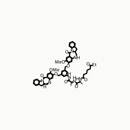 CCC(=O)CCCCC(=O)N[C@@H](C)C(=O)N[C@@H](C)C(=O)Nc1cc(COc2cc3c(cc2OC)C(=O)N2c4ccccc4C[C@H]2C=N3)cc(COc2cc3c(cc2OC)C(=O)N2c4ccccc4CC2CN3)c1